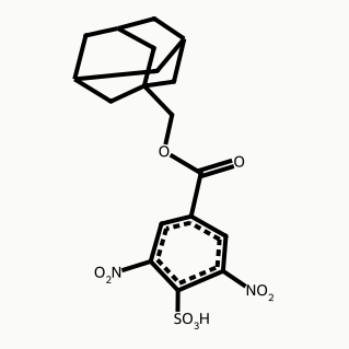 O=C(OCC12CC3CC(CC(C3)C1)C2)c1cc([N+](=O)[O-])c(S(=O)(=O)O)c([N+](=O)[O-])c1